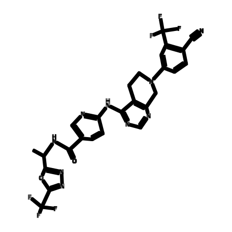 CC(NC(=O)c1ccc(Nc2ncnc3c2CCN(c2ccc(C#N)c(C(F)(F)F)c2)C3)nc1)c1nnc(C(F)(F)F)o1